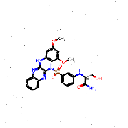 COc1cc(Nc2nc3ccccc3nc2NS(=O)(=O)c2cccc(N[C@H](CO)C(N)=O)c2)cc(OC)c1